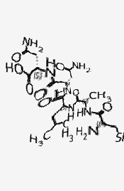 CC(C)C[C@H](NC(=O)[C@H](C)NC(=O)[C@@H](N)CS)C(=O)N[C@@H](CC(N)=O)C(=O)N[C@@H](CC(N)=O)C(=O)O